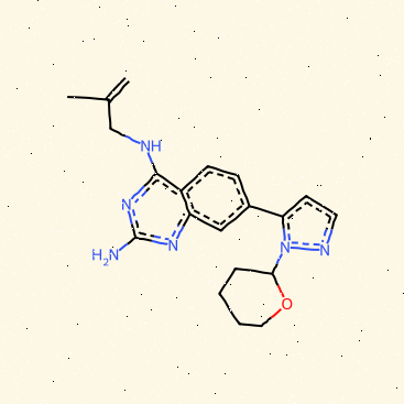 C=C(C)CNc1nc(N)nc2cc(-c3ccnn3C3CCCCO3)ccc12